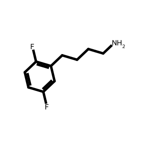 NCCCCc1cc(F)ccc1F